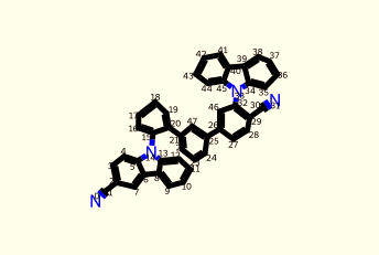 N#Cc1ccc2c(c1)c1ccccc1n2-c1ccccc1-c1cccc(-c2ccc(C#N)c(-n3c4ccccc4c4ccccc43)c2)c1